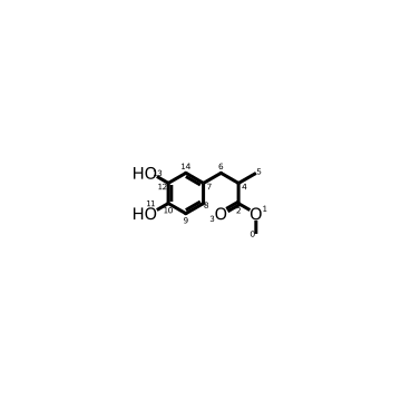 COC(=O)C(C)Cc1ccc(O)c(O)c1